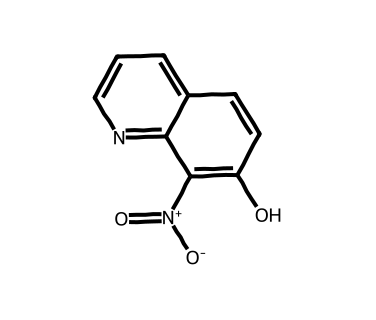 O=[N+]([O-])c1c(O)ccc2cccnc12